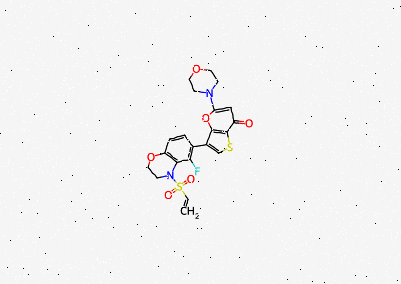 C=CS(=O)(=O)N1CCOc2ccc(-c3csc4c(=O)cc(N5CCOCC5)oc34)c(F)c21